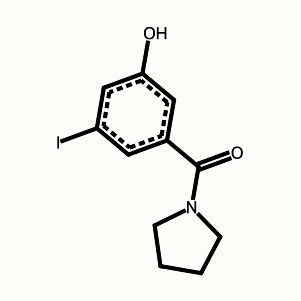 O=C(c1cc(O)cc(I)c1)N1CCCC1